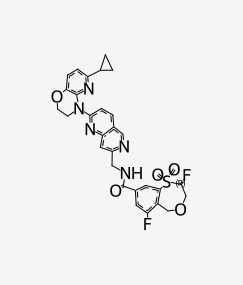 O=C(NCc1cc2nc(N3CCOc4ccc(C5CC5)nc43)ccc2cn1)c1cc(F)c2c(c1)S(=O)(=O)[C@@H](F)COC2